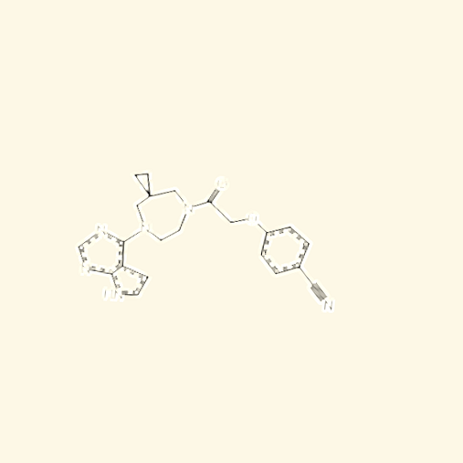 N#Cc1ccc(OCC(=O)N2CCN(c3ncnc4[nH]ccc34)CC3(CC3)C2)cc1